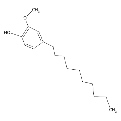 CCCCCCCCCCc1ccc(O)c(OC)c1